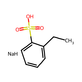 CCc1ccccc1S(=O)(=O)O.[NaH]